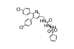 O=C(NCc1cnc(-c2ccc(Cl)cc2)c(-c2ccc(Cl)cc2)c1)NNS(=O)(=O)c1ccccc1